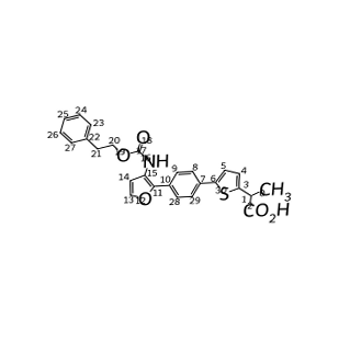 CC(C(=O)O)c1ccc(-c2ccc(-c3occc3NC(=O)OCCc3ccccc3)cc2)s1